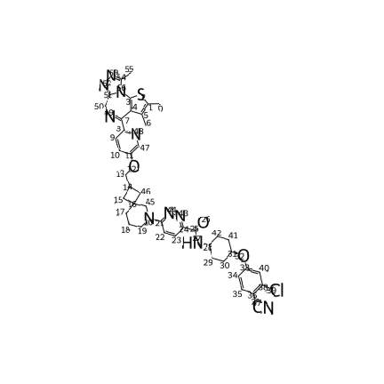 Cc1sc2c(c1C)C(c1ccc(OCC3CC4(CCCN(c5ccc(C(=O)N[C@H]6CC[C@H](Oc7ccc(C#N)c(Cl)c7)CC6)nn5)C4)C3)cn1)=NCc1nnc(C)n1-2